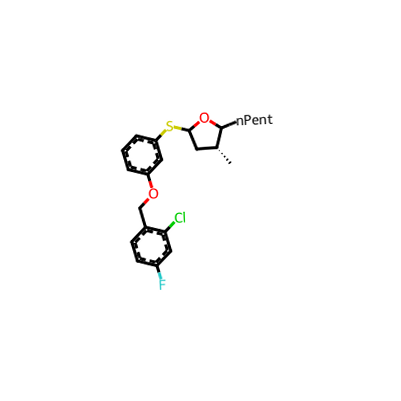 CCCCCC1OC(Sc2cccc(OCc3ccc(F)cc3Cl)c2)C[C@H]1C